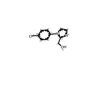 OCc1nccn1-c1ccc(Cl)cc1